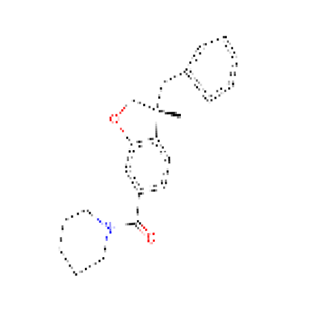 C[C@]1(Cc2ccccc2)COc2cc(C(=O)N3CCCCC3)ccc21